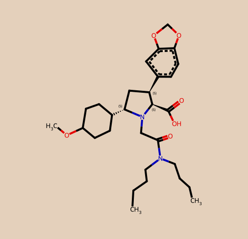 CCCCN(CCCC)C(=O)CN1[C@H](C(=O)O)[C@H](c2ccc3c(c2)OCO3)C[C@H]1C1CCC(OC)CC1